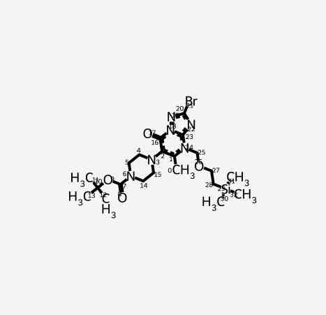 Cc1c(N2CCN(C(=O)OC(C)(C)C)CC2)c(=O)n2nc(Br)nc2n1COCC[Si](C)(C)C